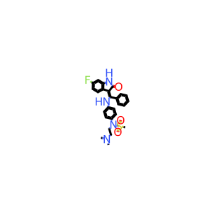 CN(C)CCN(c1ccc(NC(=C2C(=O)Nc3cc(F)ccc32)c2ccccc2)cc1)S(C)(=O)=O